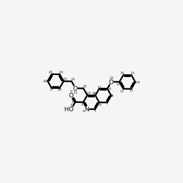 O=C(O)c1ncc2ccc(Oc3ccccc3)cc2c1COCc1ccccc1